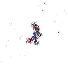 CC(C)(C)OC(=O)N1CCN(C(=O)c2ncn(C3CCCN(S(=O)(=O)c4cccnc4)C3)c2-c2ccccc2)[C@H](Cc2ccccc2)C1